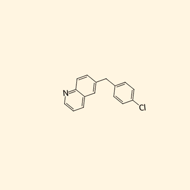 Clc1ccc(Cc2ccc3ncccc3c2)cc1